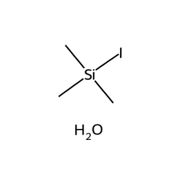 C[Si](C)(C)I.O